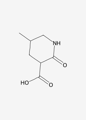 CC1CNC(=O)C(C(=O)O)C1